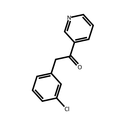 O=C(Cc1cccc(Cl)c1)c1cccnc1